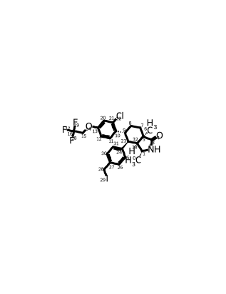 C[C@H]1NC(=O)[C@]2(C)CC[C@@H](c3ccc(OCC(F)(F)F)cc3Cl)[C@H](c3ccc(CI)cc3)[C@H]12